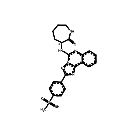 CS(=N)(=O)c1ccc(-c2nc3c4ccccc4nc(N[C@H]4CCCCNC4=O)n3n2)cc1